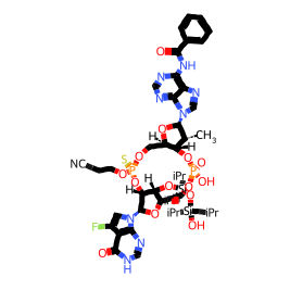 CC(C)[Si](O)(O[Si](O[C@H]1[C@H]2OP(=S)(OCCC#N)OC[C@H]3O[C@@H](n4cnc5c(NC(=O)c6ccccc6)ncnc54)[C@H](C)[C@@H]3OP(=O)(O)OC[C@H]1O[C@H]2n1cc(F)c2c(=O)[nH]cnc21)(C(C)C)C(C)C)C(C)C